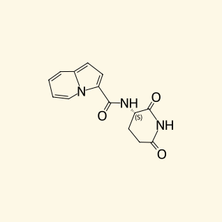 O=C1CC[C@H](NC(=O)c2ccc3ccccn23)C(=O)N1